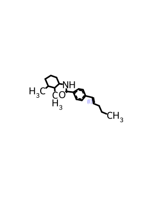 CCC/C=C/c1ccc(C(=O)NC2CCCC(C)C2C)cc1